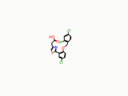 O=C(O)Cc1csc(-c2cc(Cl)ccc2OCc2ccc(Cl)cc2F)n1